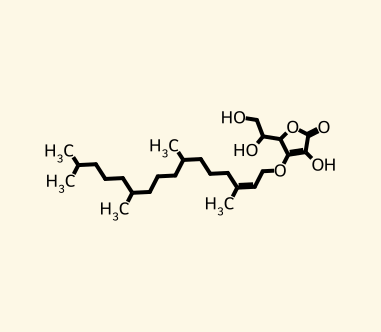 CC(=CCOC1=C(O)C(=O)OC1C(O)CO)CCCC(C)CCCC(C)CCCC(C)C